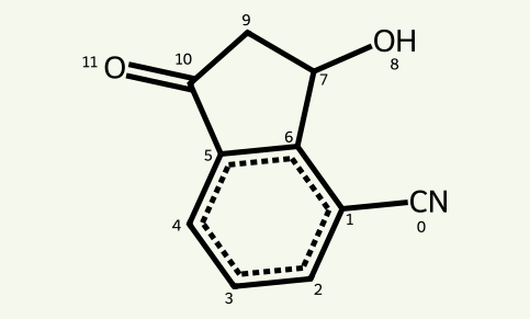 N#Cc1cccc2c1C(O)CC2=O